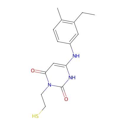 CCc1cc(Nc2cc(=O)n(CCS)c(=O)[nH]2)ccc1C